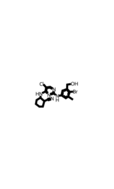 Cc1cc(Nc2ncc(Cl)c(NC3CCCCC3C#N)n2)cc(CO)c1Br